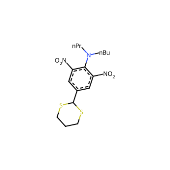 CCCCN(CCC)c1c([N+](=O)[O-])cc(C2SCCCS2)cc1[N+](=O)[O-]